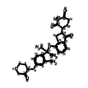 Bc1cc(CN2CCOCC2=O)ccc1C(B)(B)Oc1cccc2c1CN(C1CCC(=O)NC1=O)C2=O